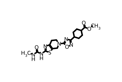 CNC(=O)Nc1nc2c(s1)CN(c1nc(C3CCC(C(=O)OC)CC3)no1)CC2